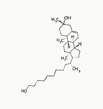 C[C@H](CCCCCCCCCO)[C@H]1CC[C@H]2[C@@H]3CC=C4C[C@@](C)(O)CC[C@]4(C)[C@H]3CC[C@]12C